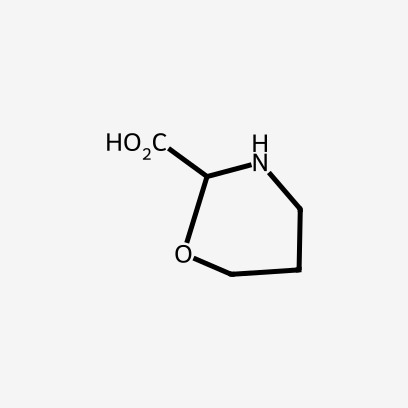 O=C(O)C1NCCCO1